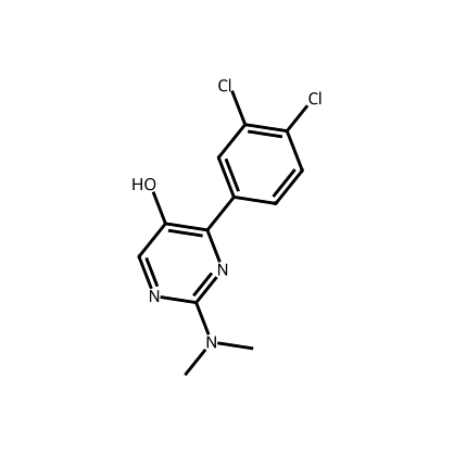 CN(C)c1ncc(O)c(-c2ccc(Cl)c(Cl)c2)n1